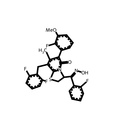 COc1cccc(-c2c(C)c(Cc3c(F)cccc3F)c3n(c2=O)C(C(=NO)c2ccccc2F)CS3)c1F